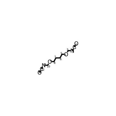 O=C=NCOCCCCOCN=C=O